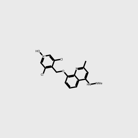 CNNc1cc(C)nc2c(OCc3c(Cl)c[n+](O)cc3Cl)cccc12